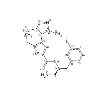 CCc1sc(C(=O)N[C@H](CN)Cc2cccc(F)c2)cc1-c1c(C)cnn1C